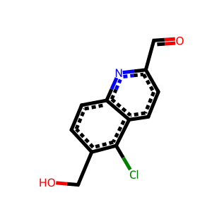 O=Cc1ccc2c(Cl)c(CO)ccc2n1